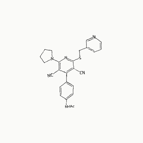 CC(=O)Nc1ccc(-c2c(C#N)c(SCc3cccnc3)nc(N3CCCC3)c2C#N)cc1